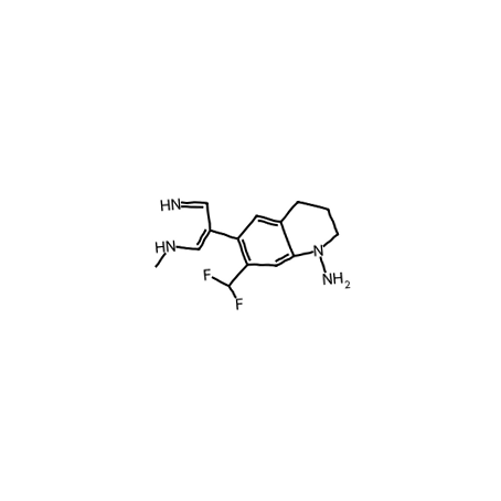 CN/C=C(\C=N)c1cc2c(cc1C(F)F)N(N)CCC2